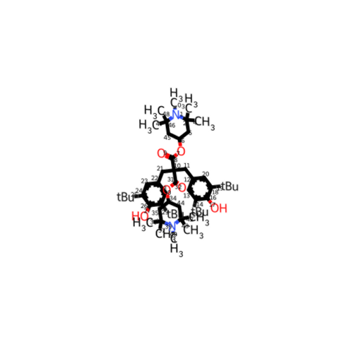 CN1C(C)(C)CC(OC(=O)C(Cc2cc(C(C)(C)C)c(O)c(C(C)(C)C)c2)(Cc2cc(C(C)(C)C)c(O)c(C(C)(C)C)c2)C(=O)OC2CC(C)(C)N(C)C(C)(C)C2)CC1(C)C